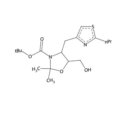 CCCc1nc(CC2C(CO)OC(C)(C)N2C(=O)OC(C)(C)C)cs1